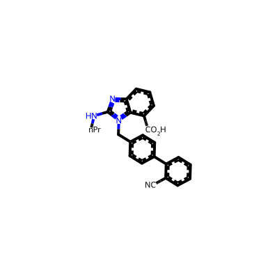 CCCNc1nc2cccc(C(=O)O)c2n1Cc1ccc(-c2ccccc2C#N)cc1